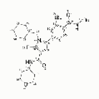 CC(C)(C)N[S+]([O-])c1ccc(-c2cc(C(=O)NC3CCOCC3)c(F)n2CC2CCCCC2)cc1C(C)(C)C